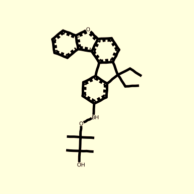 CCC1(CC)c2cc(BOC(C)(C)C(C)(C)O)ccc2-c2c1ccc1oc3ccccc3c21